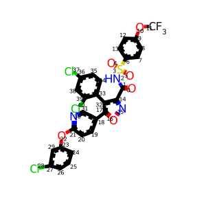 O=C(NS(=O)(=O)c1ccc(OC(F)(F)F)cc1)c1noc(-c2ccc(Oc3cccc(Cl)c3)nc2)c1-c1ccc(Cl)cc1Cl